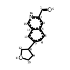 O=Cc1cc2ccc(C3CCOC3)cc2cn1